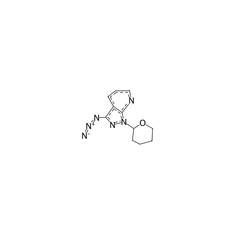 [N-]=[N+]=Nc1nn(C2CCCCO2)c2ncccc12